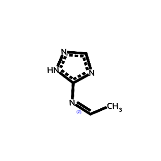 C/C=N\c1ncn[nH]1